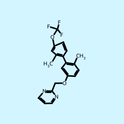 Cc1cc(OC(F)(F)F)ccc1-c1cc(OCc2ncccn2)ccc1C